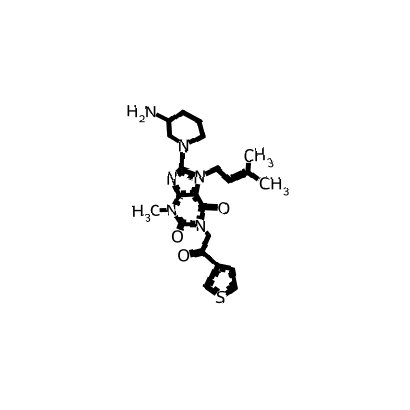 CC(C)=CCn1c(N2CCCC(N)C2)nc2c1c(=O)n(CC(=O)c1ccsc1)c(=O)n2C